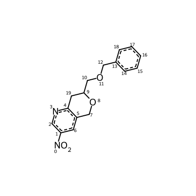 O=[N+]([O-])c1cnc2c(c1)COC(COCc1ccccc1)C2